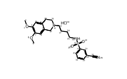 COc1cc2c(cc1OC)CN(CCCCNS(=O)(=O)c1cccc(C#N)c1)CC2.Cl